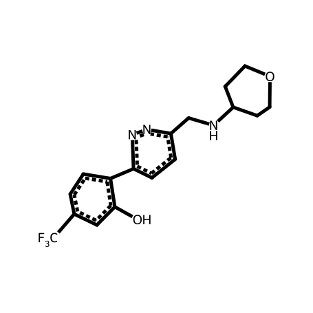 Oc1cc(C(F)(F)F)ccc1-c1ccc(CNC2CCOCC2)nn1